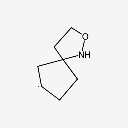 [CH]1CCC2(C1)CCON2